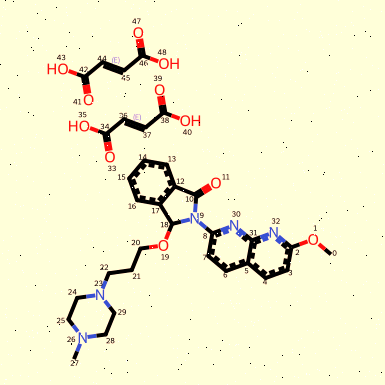 COc1ccc2ccc(N3C(=O)c4ccccc4C3OCCCN3CCN(C)CC3)nc2n1.O=C(O)/C=C/C(=O)O.O=C(O)/C=C/C(=O)O